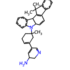 CC1(C)C2=C(C=CC3C2c2ccccc2N3C2(C)CCC=C(C3=CC(N)CN=C3)C2)c2ccccc21